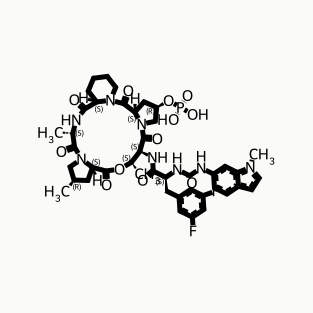 C[C@@H]1C[C@H]2C(=O)O[C@@H](C)[C@H](NC(=O)[C@H](Cc3cc(F)cc(F)c3)NC(=O)Nc3ccc4ccn(C)c4c3)C(=O)N3C[C@H](OP(=O)(O)O)C[C@H]3C(=O)N3CCCC[C@H]3C(=O)N[C@@H](C)C(=O)N2C1